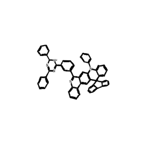 c1ccc(C2=NC(c3ccccc3)NC(c3cccc(-c4nc5ccccc5c5cc6c(cc45)N(c4ccccc4)c4ccccc4C64c5ccccc5-c5ccccc54)c3)=N2)cc1